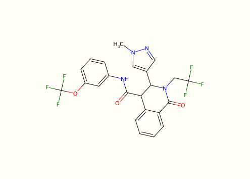 Cn1cc(C2C(C(=O)Nc3cccc(OC(F)(F)F)c3)c3ccccc3C(=O)N2CC(F)(F)F)cn1